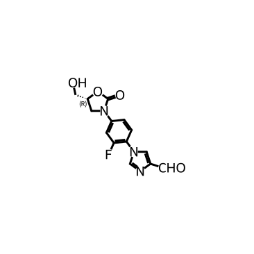 O=Cc1cn(-c2ccc(N3C[C@H](CO)OC3=O)cc2F)cn1